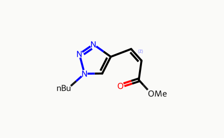 CCCCn1cc(/C=C\C(=O)OC)nn1